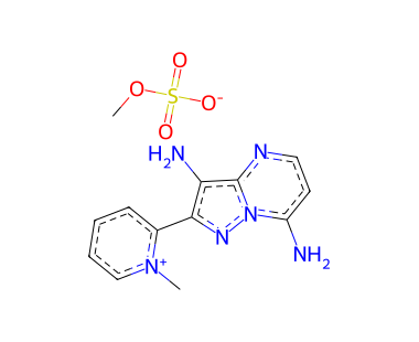 COS(=O)(=O)[O-].C[n+]1ccccc1-c1nn2c(N)ccnc2c1N